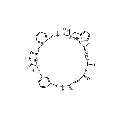 NC(=O)[C@@H]1Cc2cccc(c2)CNC(=O)/C=C/C(=O)N[C@H]2CC[C@H](CC2)CN[C@@H](Cc2ccco2)C(=O)NCc2ccccc2CC(=O)N1